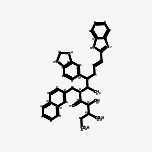 CC(C(C/C=C/c1nc2ccccc2o1)c1ccc2c(c1)OCO2)N(Cc1ccc2ccccc2c1)C(=O)C(O)C(CC(=O)O)C(=O)O